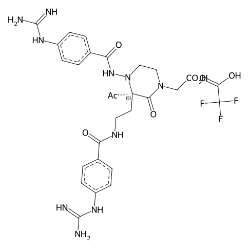 CC(=O)[C@@]1(CCNC(=O)c2ccc(NC(=N)N)cc2)C(=O)N(CC(=O)O)CCN1NC(=O)c1ccc(NC(=N)N)cc1.O=C(O)C(F)(F)F